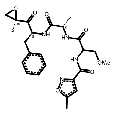 COCC(NC(=O)c1cc(C)on1)C(=O)N[C@@H](C)C(=O)N[C@@H](Cc1ccccc1)C(=O)[C@@]1(C)CO1